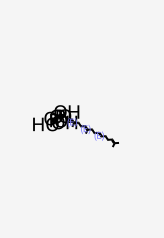 CC(C)=CCC/C=C/CC/C(C)=C/CC/C(C)=C/COP(=O)(O)OP(=O)(O)O